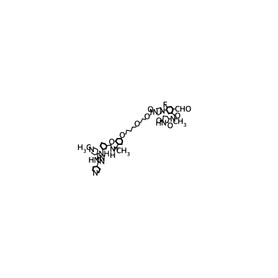 C[C@@H](NC(=O)c1cccc(NC2(c3nnc(-c4ccncc4)[nH]3)CCN(C)CC2)c1)c1ccc(OCCCCCOCCCOCC(=O)N2CCN(c3cc(C(=O)N(C)C4CCC(=O)NC4=O)c(C=O)cc3F)CC2)cc1